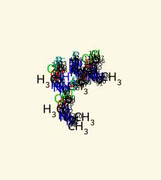 CC1C=CN=C(n2nnc3c2CCN(C(=O)c2cccc(C(F)(F)F)c2Cl)[C@@H]3C)N1.CC1Cc2c(nnn2-c2ncc(F)cn2)CN1C(=O)c1cc(C(F)(F)F)ccc1F.Cc1cc(C)nc(-n2nnc3c2CCN(C(=O)c2cccc(Cl)c2Cl)[C@H]3C)c1.Cc1cccc(-n2nnc3c2CCN(C(=O)c2cccc(Cl)c2Cl)C3C)n1